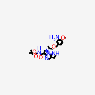 COc1ccc(COCC(C)N2CC(C(=O)NC(=O)OC(C)(C)C)=C3N=CC4=C(NCC4)N32)cc1N